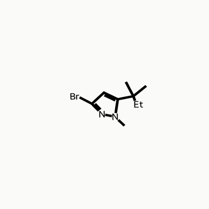 CCC(C)(C)c1cc(Br)nn1C